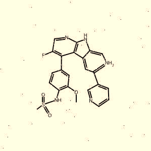 C=C(/C=c1\c(=C/N)[nH]c2ncc(F)c(-c3ccc(NS(C)(=O)=O)c(OC)c3)c12)c1cccnc1